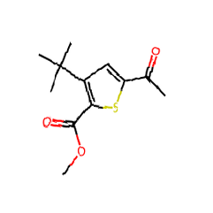 COC(=O)c1sc(C(C)=O)cc1C(C)(C)C